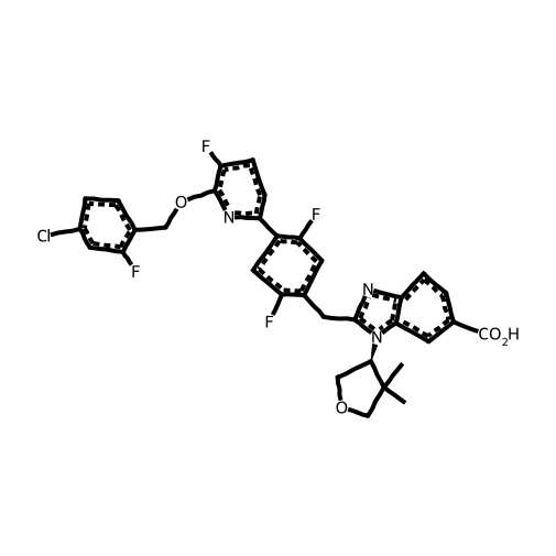 CC1(C)COC[C@H]1n1c(Cc2cc(F)c(-c3ccc(F)c(OCc4ccc(Cl)cc4F)n3)cc2F)nc2ccc(C(=O)O)cc21